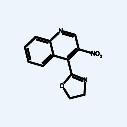 O=[N+]([O-])c1cnc2ccccc2c1C1=NCCO1